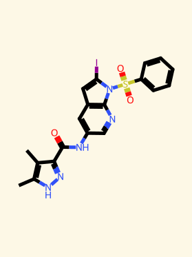 Cc1[nH]nc(C(=O)Nc2cnc3c(c2)cc(I)n3S(=O)(=O)c2ccccc2)c1C